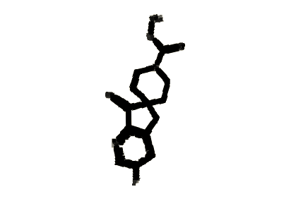 CC(C)(C)OC(=O)N1CCC2(CC1)Cc1cc(F)cnc1C2=O